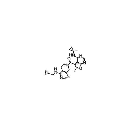 Cc1oc2ncnc(NC3(C)CC3)c2c1C(=O)N1CCc2c(ncnc2NCC2CC2)C1